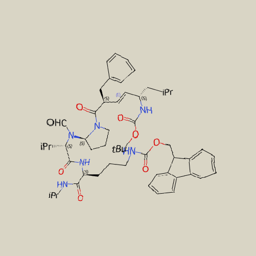 CC(C)C[C@@H](/C=C/[C@H](Cc1ccccc1)C(=O)N1CCC[C@H]1N(C=O)[C@H](C(=O)N[C@@H](CCCNC(=O)OCC1c2ccccc2-c2ccccc21)C(=O)NC(C)C)C(C)C)NC(=O)OC(C)(C)C